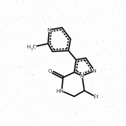 CCC1CNC(=O)c2c(-c3ccnc(C)c3)cnn21